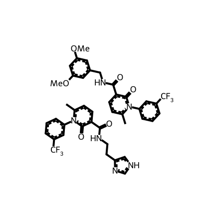 COc1cc(CNC(=O)c2ccc(C)n(-c3cccc(C(F)(F)F)c3)c2=O)cc(OC)c1.Cc1ccc(C(=O)NCCc2c[nH]cn2)c(=O)n1-c1cccc(C(F)(F)F)c1